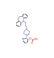 O=C(O)Oc1cccnc1N1CCN(CCCN2c3ccccc3CCc3ccccc32)CC1